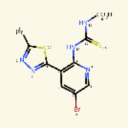 CC(C)c1nnc(-c2cc(Br)cnc2NC(=S)NC(=O)O)s1